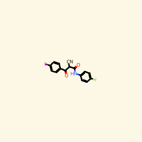 N#CC(C(=O)Nc1ccc(F)cc1)C(=O)c1ccc(I)cc1